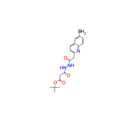 Bc1ccc2nc(CC(=O)NNC(=O)CC(=O)OC(C)(C)C)ccc2c1